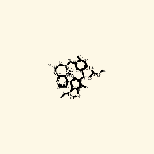 CCn1nnc2c(C)c(C(CC(=O)OC)c3ccc(C)c(CN4C[C@@H](C)Oc5ncccc5S4(=O)=O)c3)ccc21